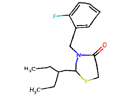 CCC(CC)C1SCC(=O)N1Cc1ccccc1F